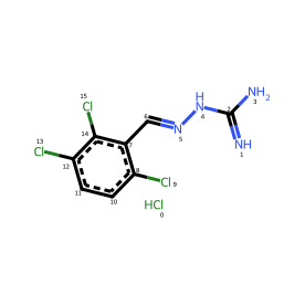 Cl.N=C(N)NN=Cc1c(Cl)ccc(Cl)c1Cl